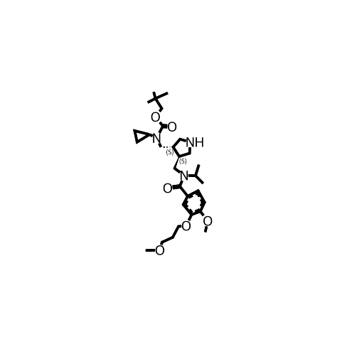 COCCCOc1cc(C(=O)N(C[C@@H]2CNC[C@H]2CN(C(=O)OCC(C)(C)C)C2CC2)C(C)C)ccc1OC